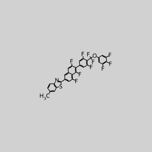 Cc1ccc2nc(-c3cc(F)c4c(F)c(-c5cc(F)c(C(F)(F)Oc6cc(F)c(F)c(F)c6)c(F)c5)c(F)cc4c3)sc2c1